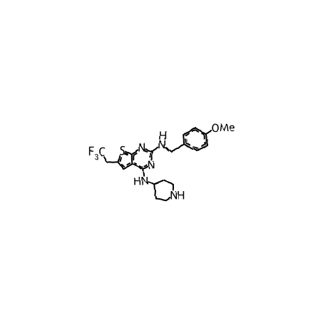 COc1ccc(CNc2nc(NC3CCNCC3)c3cc(CC(F)(F)F)sc3n2)cc1